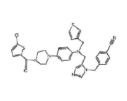 N#Cc1ccc(Cn2cncc2CN(Cc2ccsc2)c2ccc(N3CCN(C(=O)c4ccc(Cl)s4)CC3)cc2)cc1